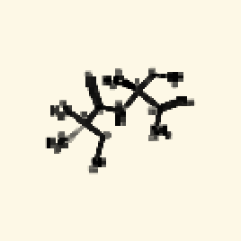 C[C@](CS)(NC(=O)[C@](C)(N)CS)C(N)=O